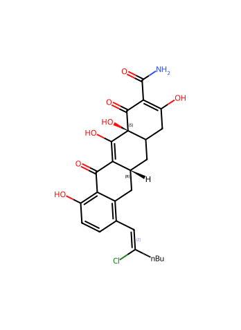 CCCC/C(Cl)=C/c1ccc(O)c2c1C[C@H]1CC3CC(O)=C(C(N)=O)C(=O)[C@@]3(O)C(O)=C1C2=O